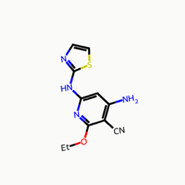 CCOc1nc(Nc2nccs2)cc(N)c1C#N